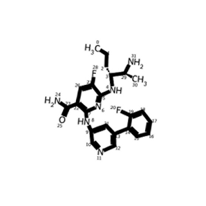 CCC[C@@H](Nc1nc(Nc2cncc(-c3ccccc3F)c2)c(C(N)=O)cc1F)[C@H](C)N